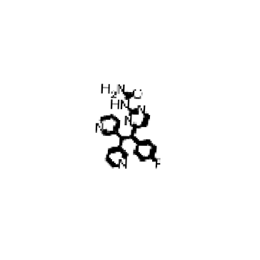 NC(=O)Nc1nccc(C(c2ccc(F)cc2)C(c2cccnc2)c2cccnc2)n1